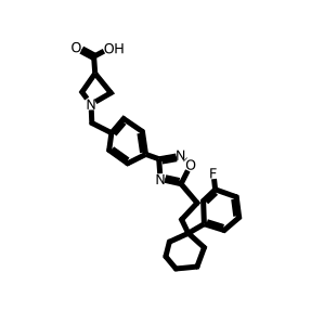 O=C(O)C1CN(Cc2ccc(-c3noc(CCC4(c5cccc(F)c5)CCCCC4)n3)cc2)C1